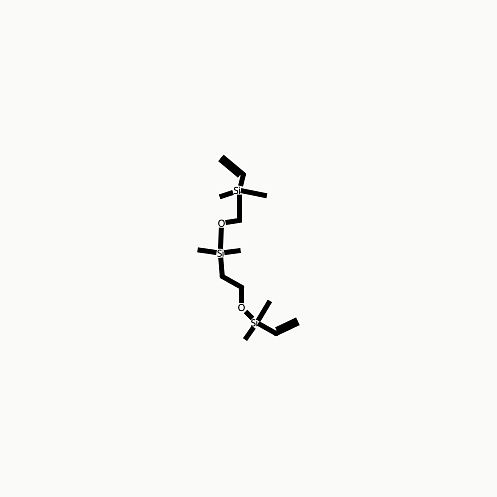 C=C[Si](C)(C)CO[Si](C)(C)CCO[Si](C)(C)C=C